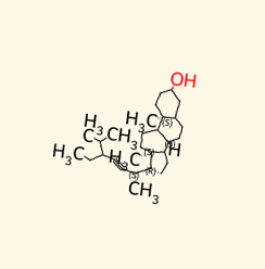 CCC(C#C[C@@H](C)[C@H]1CCC2[C@H]3CCC4CC(O)CC[C@]4(C)C3CC[C@@]21C)C(C)C